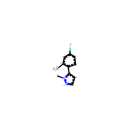 Cn1nccc1-c1ccc(F)cc1[N+](=O)[O-]